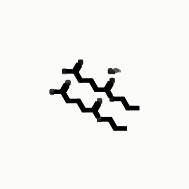 CCCOC(=O)CCCC(=O)[O-].CCCOC(=O)CCCC(=O)[O-].[Cu+2]